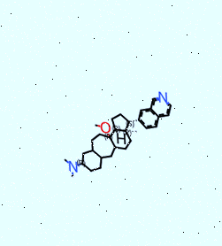 CO[C@]12CCC3C[C@H](N(C)C)CCC3CC1CC[C@]1(C)[C@@H](c3ccc4ccncc4c3)CC[C@H]12